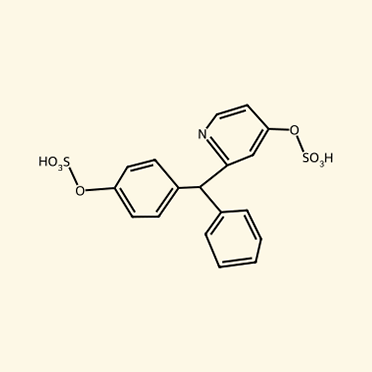 O=S(=O)(O)Oc1ccc(C(c2ccccc2)c2cc(OS(=O)(=O)O)ccn2)cc1